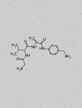 BCC(=O)NC(C(=O)N[C@@H](C)C(=O)Nc1ccc(CB)cc1)C(C)C